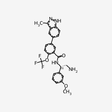 COc1cccc([C@@H](CN)NC(=O)c2cc(-c3ccc4[nH]nc(C)c4c3)ccc2OC(F)(F)F)c1